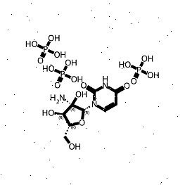 N[C@@]1(O)[C@H](O)[C@@H](CO)O[C@H]1n1ccc(=O)[nH]c1=O.O=P(O)(O)O.O=P(O)(O)O.O=P(O)(O)O